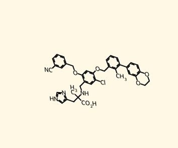 Cc1c(COc2cc(OCc3cccc(C#N)c3)c(CNC(C)(Cc3c[nH]cn3)C(=O)O)cc2Cl)cccc1-c1ccc2c(c1)OCCO2